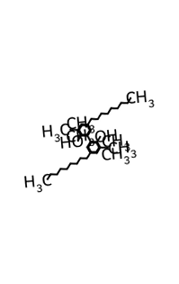 CCCCCCCCCc1cc(-c2cc(CCCCCCCCC)cc(C(C)(C)C)c2O)c(O)c(C(C)(C)C)c1